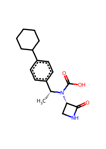 C[C@H](c1ccc(C2CCCCC2)cc1)N(C(=O)O)[C@H]1CNC1=O